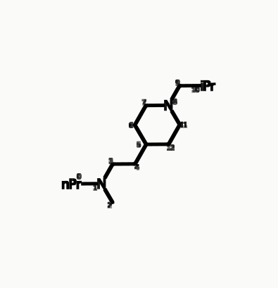 CCCN(C)CCC1CCN(CC(C)C)CC1